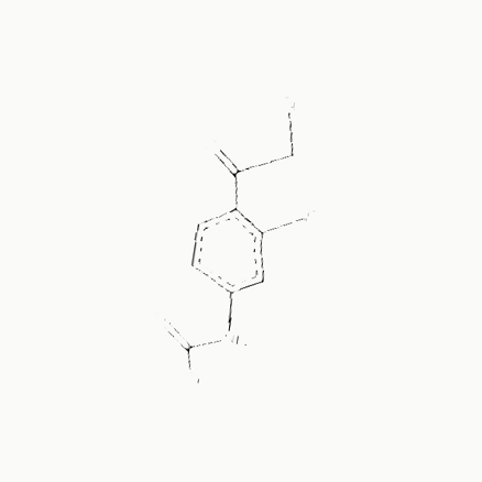 O=C(O)Nc1ccc(C(=O)CBr)c(F)c1